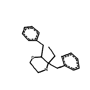 CCC1(Cc2ccccc2)[N]CCOC1Cc1ccccc1